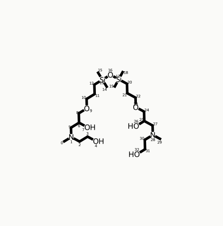 CN(CCO)CC(O)COCCC[Si](C)(C)O[Si](C)(C)CCCOCC(O)CN(C)CCO